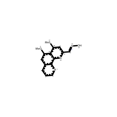 COc1cc2cccnc2c2nc(/C=N/O)cc(SC)c12